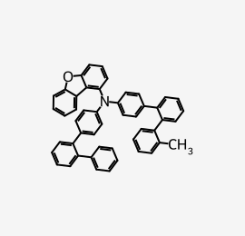 Cc1ccccc1-c1ccccc1-c1ccc(N(c2ccc(-c3ccccc3-c3ccccc3)cc2)c2cccc3oc4ccccc4c23)cc1